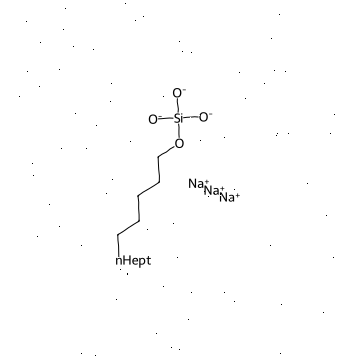 CCCCCCCCCCCCO[Si]([O-])([O-])[O-].[Na+].[Na+].[Na+]